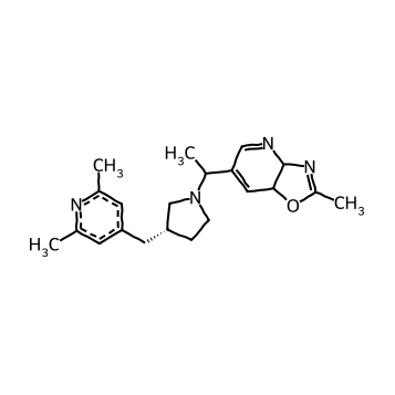 CC1=NC2N=CC(C(C)N3CC[C@H](Cc4cc(C)nc(C)c4)C3)=CC2O1